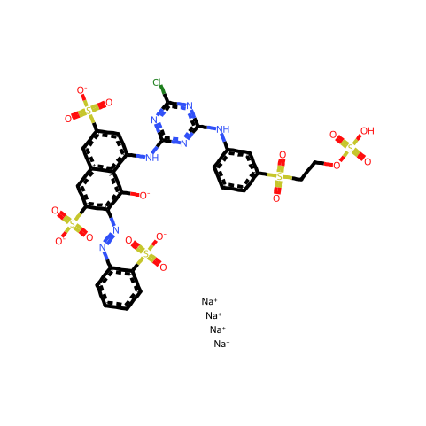 O=S(=O)(O)OCCS(=O)(=O)c1cccc(Nc2nc(Cl)nc(Nc3cc(S(=O)(=O)[O-])cc4cc(S(=O)(=O)[O-])c(N=Nc5ccccc5S(=O)(=O)[O-])c([O-])c34)n2)c1.[Na+].[Na+].[Na+].[Na+]